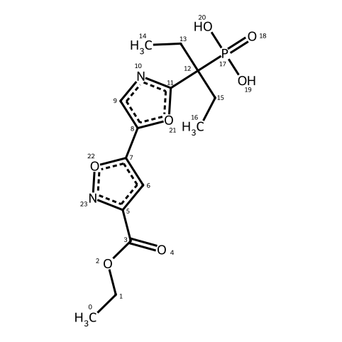 CCOC(=O)c1cc(-c2cnc(C(CC)(CC)P(=O)(O)O)o2)on1